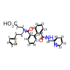 O=C(O)CCN(CCc1cccs1)C(=O)c1ccccc1-c1ccccc1C(=O)NCc1ccccn1